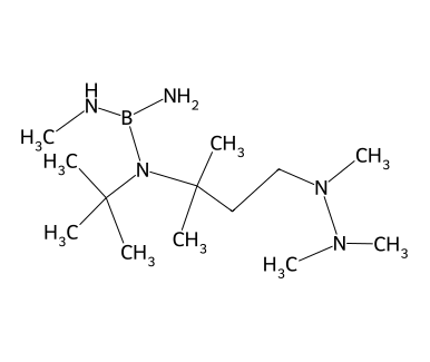 CNB(N)N(C(C)(C)C)C(C)(C)CCN(C)N(C)C